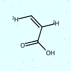 [2H]C=C([2H])C(=O)O